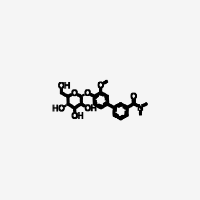 COc1cc(-c2cccc(C(=O)N(C)C)c2)ccc1O[C@H]1OC(CO)[C@@H](O)C(O)C1O